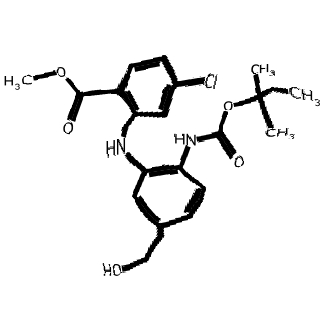 COC(=O)c1ccc(Cl)cc1Nc1cc(CO)ccc1NC(=O)OC(C)(C)C